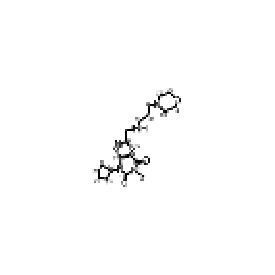 Cn1c(=O)c2nc(CNCCCN3CCOCC3)nnc2n(C2CCCC2)c1=O